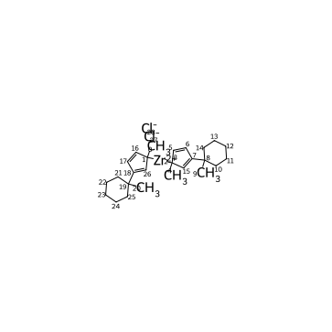 C[C]1([Zr+2][C]2(C)C=CC(C3(C)CCCCC3)=C2)C=CC(C2(C)CCCCC2)=C1.[Cl-].[Cl-]